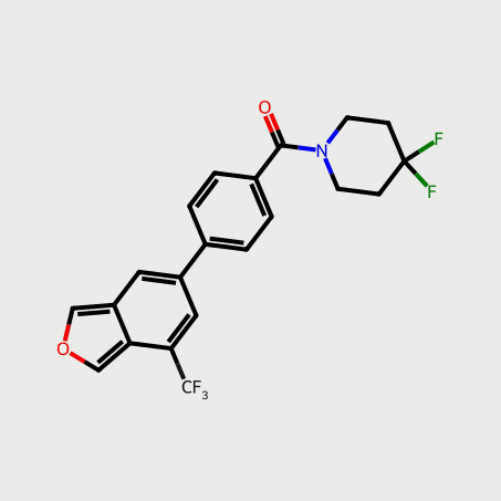 O=C(c1ccc(-c2cc(C(F)(F)F)c3cocc3c2)cc1)N1CCC(F)(F)CC1